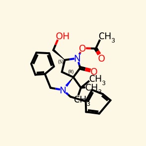 CC(=O)ON1C(=O)[C@](N(Cc2ccccc2)Cc2ccccc2)(C(C)(C)C)C[C@H]1CO